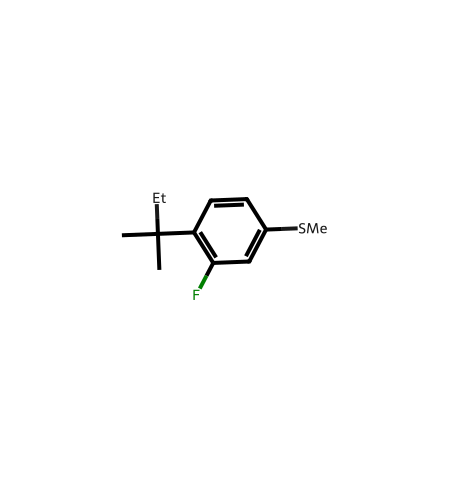 CCC(C)(C)c1ccc(SC)cc1F